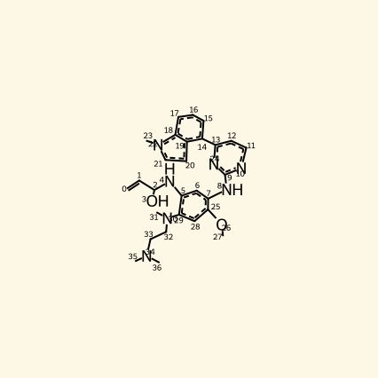 C=CC(O)Nc1cc(Nc2nccc(-c3cccc4c3ccn4C)n2)c(OC)cc1N(C)CCN(C)C